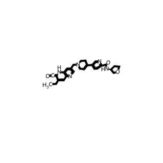 CCC1=Cc2ncc(CN3CC=C(c4ccc(C(=O)N[C@H]5CCOC5)nc4)CC3)cc2NC1=C=O